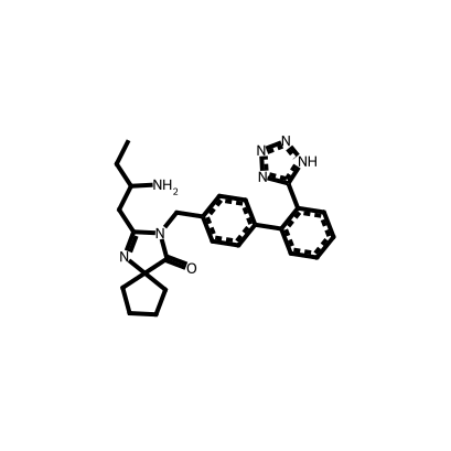 CCC(N)CC1=NC2(CCCC2)C(=O)N1Cc1ccc(-c2ccccc2-c2nnn[nH]2)cc1